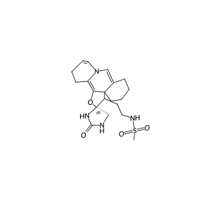 CS(=O)(=O)NCCC1C23CCCCC2=CN2C=CCCC2=C3O[C@@]12CNC(=O)N2